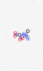 CN1CC=C(/C(=N\Nc2ccc([N+](=O)[O-])cc2[N+](=O)[O-])c2ccccc2)CC1